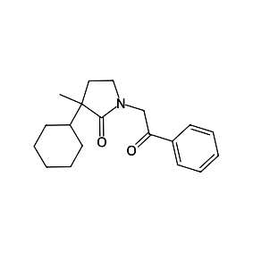 CC1(C2CCCCC2)CCN(CC(=O)c2ccccc2)C1=O